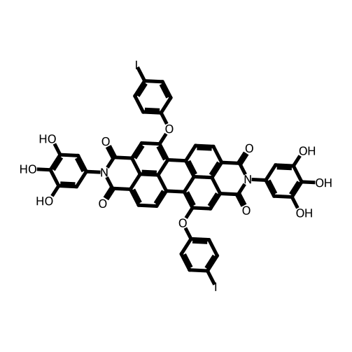 O=C1c2ccc3c4c(Oc5ccc(I)cc5)cc5c6c(ccc(c7c(Oc8ccc(I)cc8)cc(c2c37)C(=O)N1c1cc(O)c(O)c(O)c1)c64)C(=O)N(c1cc(O)c(O)c(O)c1)C5=O